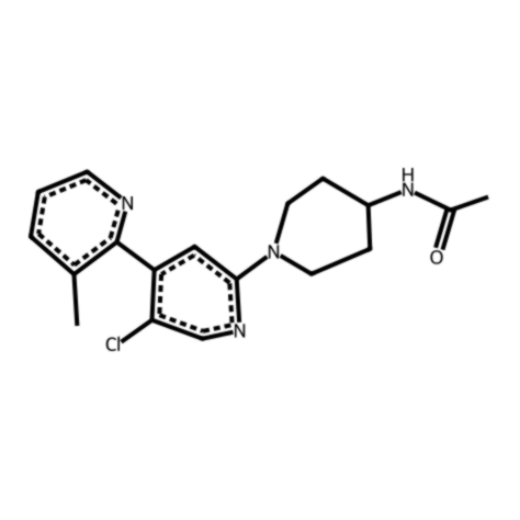 CC(=O)NC1CCN(c2cc(-c3ncccc3C)c(Cl)cn2)CC1